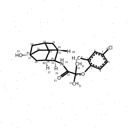 Cc1cc(Cl)ccc1OC(C)(C)C(=O)N[C@H]1[C@@H]2CC3C[C@H]1C[C@](O)(C3)C2